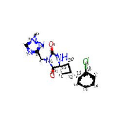 Cn1cnc(CN2C(=O)N[C@]3(C[C@@H](c4ccccc4Cl)C3)C2=O)n1